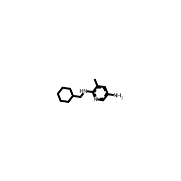 Cc1cc(N)cnc1NCC1CCCCC1